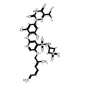 C=C/C=C\C=C(/C)COc1cnc(Oc2c(Cl)cc(-n3nc(C(F)F)c(=O)[nH]c3=O)cc2Cl)cc1S(=O)(=O)NC1CS(=O)(=O)C1